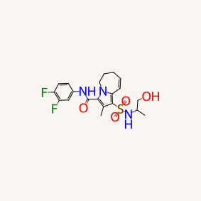 Cc1c(S(=O)(=O)NC(C)CO)c2n(c1C(=O)Nc1ccc(F)c(F)c1)CCCC=C2